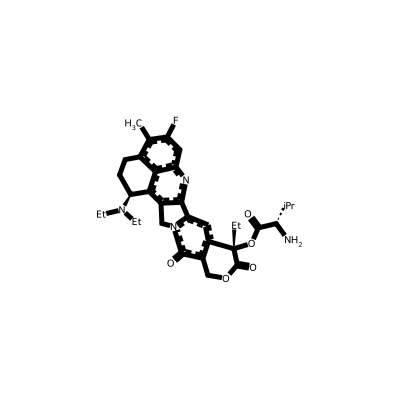 CCN(CC)[C@H]1CCc2c(C)c(F)cc3nc4c(c1c23)Cn1c-4cc2c(c1=O)COC(=O)[C@@]2(CC)OC(=O)[C@@H](N)C(C)C